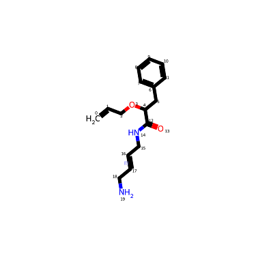 C=CCOC(Cc1ccccc1)C(=O)NC/C=C/CN